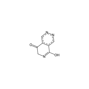 O=C1CN=C(O)c2cnncc21